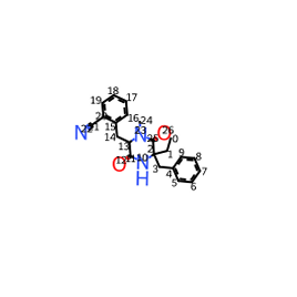 CCC1(Cc2ccccc2)NC(=O)C(Cc2ccccc2C#N)N(C)C1=O